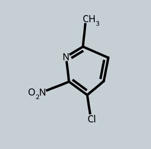 Cc1ccc(Cl)c([N+](=O)[O-])n1